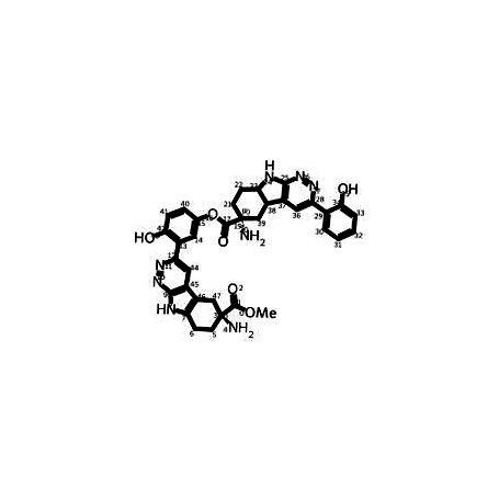 COC(=O)[C@]1(N)CCc2[nH]c3nnc(-c4cc(OC(=O)[C@@]5(N)CCC6Nc7nnc(-c8ccccc8O)cc7C6C5)ccc4O)cc3c2C1